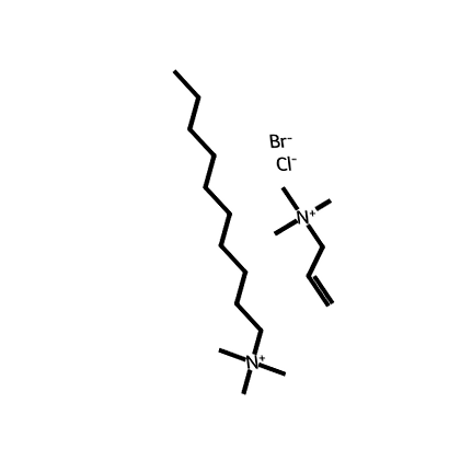 C=CC[N+](C)(C)C.CCCCCCCCCC[N+](C)(C)C.[Br-].[Cl-]